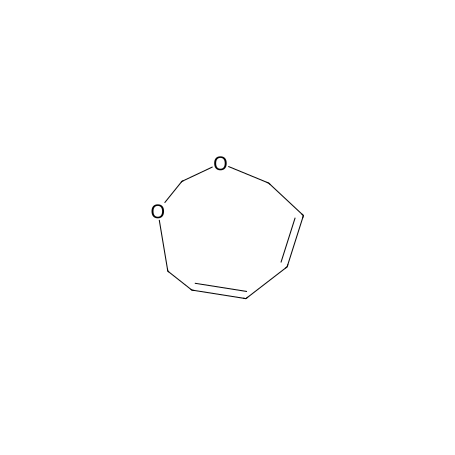 C1=C\COCOC\C=C/1